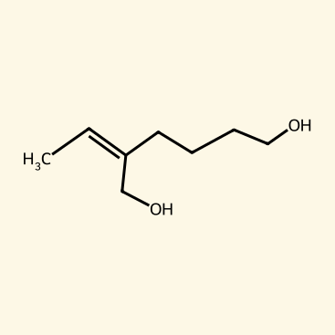 CC=C(CO)CCCCO